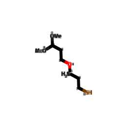 COC(CCO[SiH2]CCS)OC